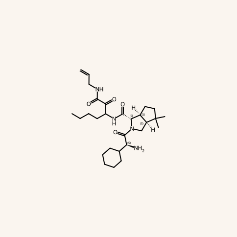 C=CCNC(=O)C(=O)C(CCCC)NC(=O)[C@@H]1[C@H]2CCC(C)(C)[C@H]2CN1C(=O)[C@@H](N)C1CCCCC1